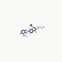 CC1C=CC2CN(c3c(F)cc4c(=O)c(OC(=O)O)cn(C5CC5)c4c3F)CC2C1N